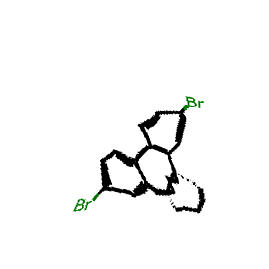 Brc1ccc2c(c1)[C@]13CCC[C@]1(CCC3)c1cc(Br)ccc1-2